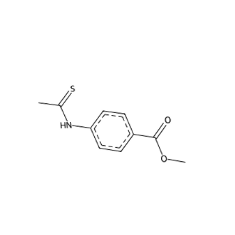 COC(=O)c1ccc(NC(C)=S)cc1